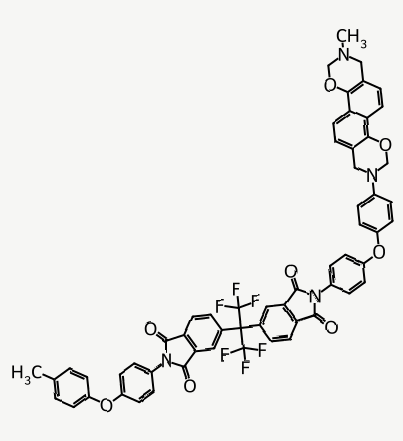 Cc1ccc(Oc2ccc(N3C(=O)c4ccc(C(c5ccc6c(c5)C(=O)N(c5ccc(Oc7ccc(N8COc9c(ccc%10c%11c(ccc9%10)CN(C)CO%11)C8)cc7)cc5)C6=O)(C(F)(F)F)C(F)(F)F)cc4C3=O)cc2)cc1